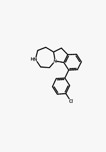 Clc1cccc(-c2cccc3c2N2CCNCCC2C3)c1